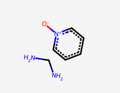 NCN.[O-][n+]1ccccc1